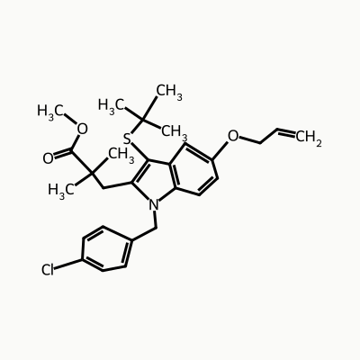 C=CCOc1ccc2c(c1)c(SC(C)(C)C)c(CC(C)(C)C(=O)OC)n2Cc1ccc(Cl)cc1